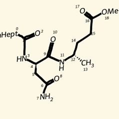 CCCCCCCC(=O)N[C@H](CC(N)=O)C(=O)N[C@@H](C)CCC(=O)OC